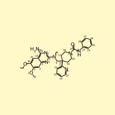 COc1cc2nc(N(C)CC3(c4ccccn4)CCN(C(=O)Nc4ccccc4)CC3)nc(N)c2cc1OC